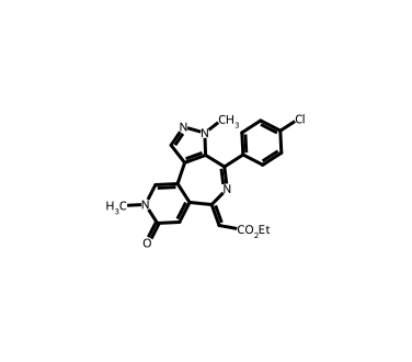 CCOC(=O)/C=C1\N=C(c2ccc(Cl)cc2)c2c(cnn2C)-c2cn(C)c(=O)cc21